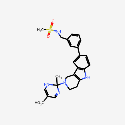 CC1(N2CCc3[nH]c4ccc(-c5cccc(CNS(C)(=O)=O)c5)cc4c3C2)N=CC(C(=O)O)=CN1